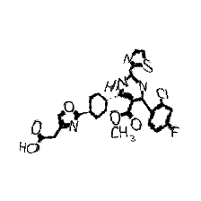 COC(=O)C1=C([C@H]2CC[C@H](c3nc(CC(=O)O)co3)CC2)NC(c2nccs2)=NC1c1ccc(F)cc1Cl